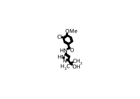 COc1ccc(C(=O)Nc2cc(C(C)(C)O)n[nH]2)cc1Cl